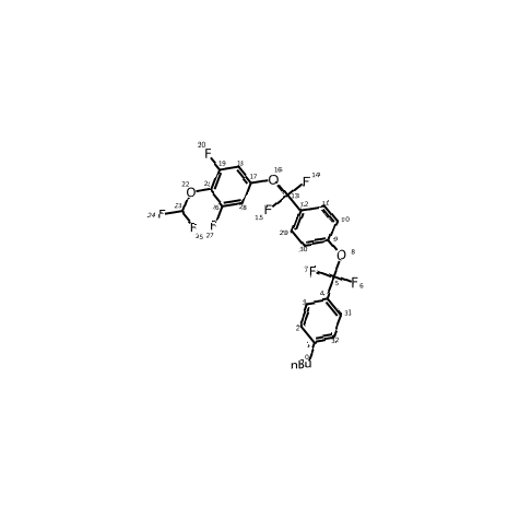 CCCCc1ccc(C(F)(F)Oc2ccc(C(F)(F)Oc3cc(F)c(OC(F)F)c(F)c3)cc2)cc1